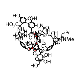 CN[C@H](CC(C)C)C(=O)NC1C(=O)N[C@@H](CC(N)=O)C(=O)N[C@H]2C(=O)N[C@H]3C(=O)N[C@H](C(=O)N[C@H](C(=O)O)c4cc(O)cc(O)c4-c4cc3ccc4O)[C@H](O)c3ccc(c(Cl)c3)Oc3cc2cc(c3O[C@@H]2O[C@H](CO)[C@@H](O)[C@H](O)C2O[C@H]2C[C@](C)(N)[C@H](O)[C@H](C)O2)Oc2ccc(cc2Cl)[C@H]1O